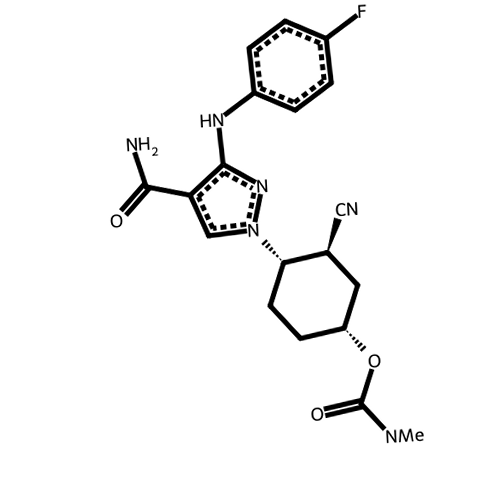 CNC(=O)O[C@@H]1CC[C@H](n2cc(C(N)=O)c(Nc3ccc(F)cc3)n2)[C@@H](C#N)C1